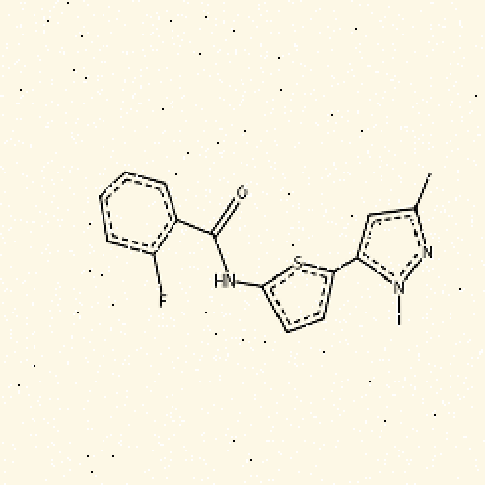 Cc1cc(-c2ccc(NC(=O)c3ccccc3F)s2)n(C)n1